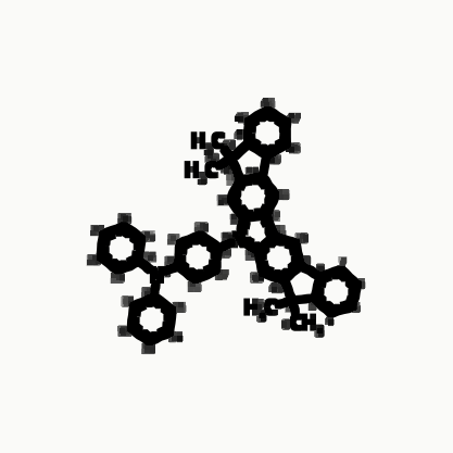 CC1(C)c2ccccc2-c2cc3c4cc5c(cc4n(-c4ccc(N(c6ccccc6)c6ccccc6)cc4)c3cc21)C(C)(C)c1ccccc1-5